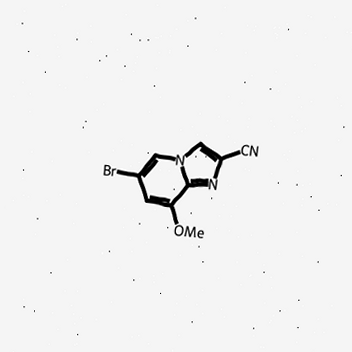 COc1cc(Br)cn2cc(C#N)nc12